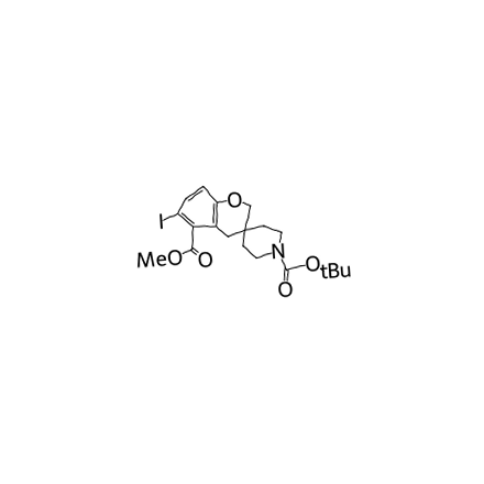 COC(=O)c1c(I)ccc2c1CC1(CCN(C(=O)OC(C)(C)C)CC1)CO2